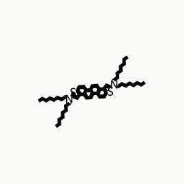 CCCCCCCCN(CCCCCCCC)c1cc2c(ccc3c2ccc2c4ccc5sc(N(CCCCCCCC)CCCCCCCC)cc5c4ccc32)s1